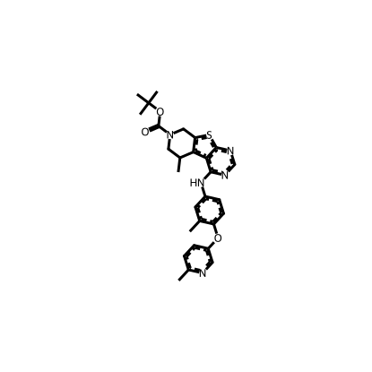 Cc1ccc(Oc2ccc(Nc3ncnc4sc5c(c34)C(C)CN(C(=O)OC(C)(C)C)C5)cc2C)cn1